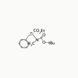 CCOC(=O)[C@@H](Cc1ccccc1)N(C)C(=O)OC(C)(C)C